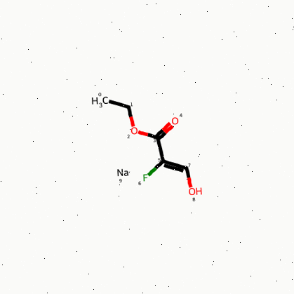 CCOC(=O)/C(F)=C/O.[Na]